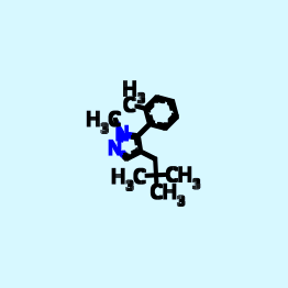 Cc1ccccc1-c1c(CC(C)(C)C)cnn1C